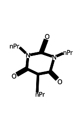 CCCC1C(=O)N(CCC)C(=O)N(CCC)C1=O